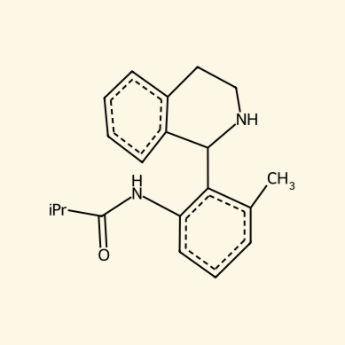 Cc1cccc(NC(=O)C(C)C)c1C1NCCc2ccccc21